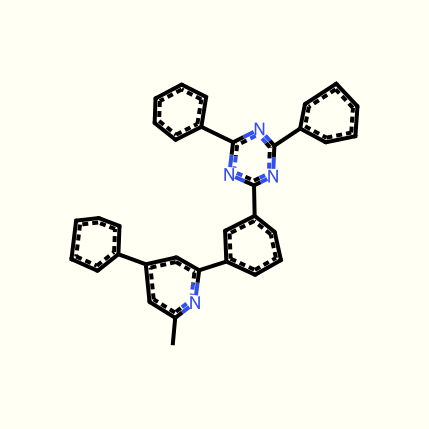 Cc1cc(-c2ccccc2)cc(-c2cccc(-c3nc(-c4ccccc4)nc(-c4ccccc4)n3)c2)n1